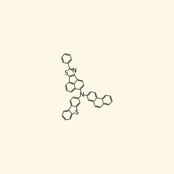 c1ccc(-c2nc3c(s2)-c2cccc4c(N(c5ccc6c(ccc7ccccc76)c5)c5ccc6c(c5)sc5ccccc56)ccc-3c24)cc1